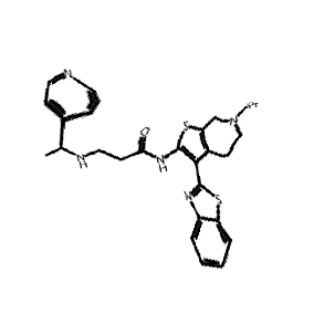 CC(NCCC(=O)Nc1sc2c(c1-c1nc3ccccc3s1)CCN(C(C)C)C2)c1ccncc1